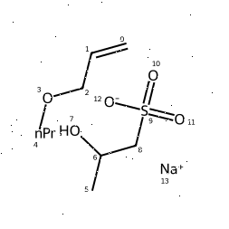 C=CCOCCC.CC(O)CS(=O)(=O)[O-].[Na+]